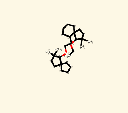 CCOC1C(C)(C)CCC12CCCCC2CCOC1C(C)(C)CCC12CCCC2